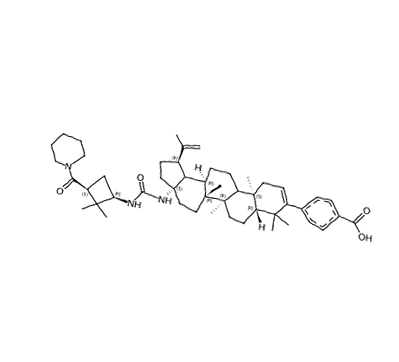 C=C(C)[C@@H]1CC[C@]2(NC(=O)N[C@@H]3C[C@H](C(=O)N4CCCCC4)C3(C)C)CC[C@]3(C)[C@H](CCC4[C@@]5(C)CC=C(c6ccc(C(=O)O)cc6)C(C)(C)[C@@H]5CC[C@]43C)C12